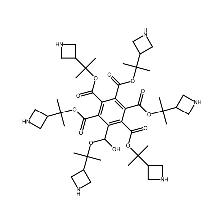 CC(C)(OC(=O)c1c(C(=O)OC(C)(C)C2CNC2)c(C(=O)OC(C)(C)C2CNC2)c(C(O)OC(C)(C)C2CNC2)c(C(=O)OC(C)(C)C2CNC2)c1C(=O)OC(C)(C)C1CNC1)C1CNC1